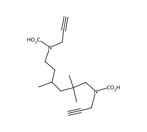 C#CCN(CCC(C)CC(C)(C)CN(CC#C)C(=O)O)C(=O)O